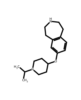 CC(C)N1CCC(Oc2ccc3c(c2)CCNCC3)CC1